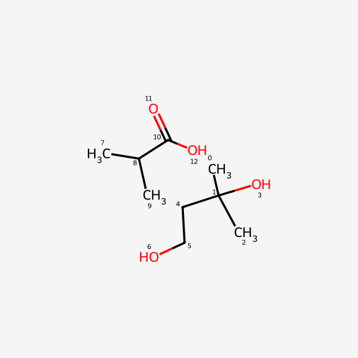 CC(C)(O)CCO.CC(C)C(=O)O